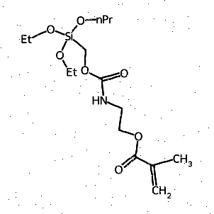 C=C(C)C(=O)OCCNC(=O)OC[Si](OCC)(OCC)OCCC